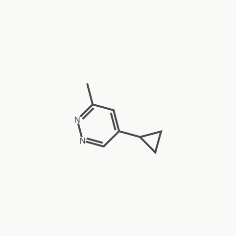 Cc1cc(C2CC2)cnn1